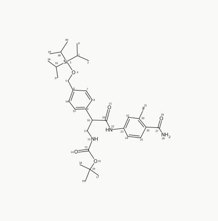 CC(C)[Si](OCc1ccc(C(CNC(=O)OC(C)(C)C)C(=O)Nc2ccc(C(N)=O)c(F)c2)cc1)(C(C)C)C(C)C